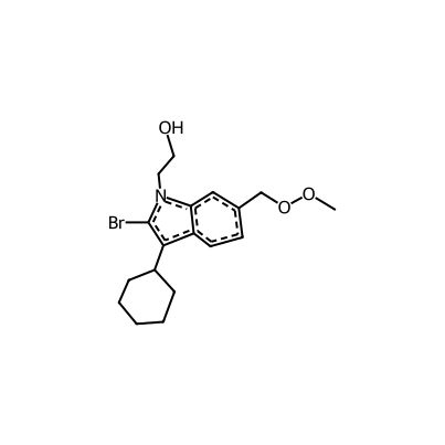 COOCc1ccc2c(C3CCCCC3)c(Br)n(CCO)c2c1